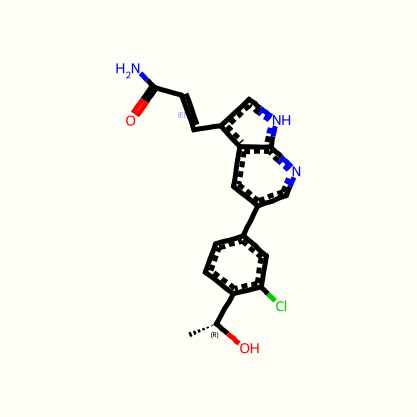 C[C@@H](O)c1ccc(-c2cnc3[nH]cc(/C=C/C(N)=O)c3c2)cc1Cl